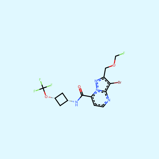 O=C(N[C@H]1C[C@@H](OC(F)(F)F)C1)c1ccnc2c(Br)c(COCF)nn12